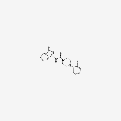 O=C(Nc1n[nH]c2ccccc12)N1CCN(c2ccccc2F)CC1